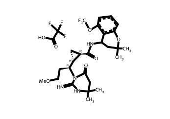 COCC[C@@H]([C@@H]1C[C@H]1C(=O)NC1CC(C)(C)Oc2cccc(OC(F)(F)F)c21)N1C(=N)NC(C)(C)CC1=O.O=C(O)C(F)(F)F